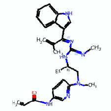 C=CC(=O)Nc1ccc(N(C)C[C@@H](CC)NC(=N/C)/N=C(\C(=C)C)c2c[nH]c3ccccc23)nc1